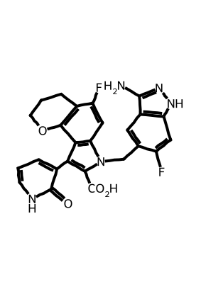 Nc1n[nH]c2cc(F)c(Cn3c(C(=O)O)c(-c4ccc[nH]c4=O)c4c5c(c(F)cc43)CCCO5)cc12